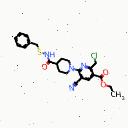 CCOC(=O)c1cc(C#N)c(N2CCC(C(=O)NSCc3ccccc3)CC2)nc1CCl